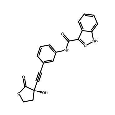 O=C(Nc1cccc(C#C[C@]2(O)CCOC2=O)c1)c1n[nH]c2ccccc12